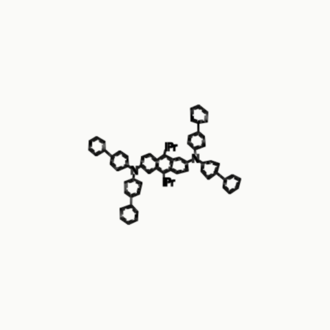 CC(C)c1c2ccc(N(c3ccc(-c4ccccc4)cc3)c3ccc(-c4ccccc4)cc3)cc2c(C(C)C)c2ccc(N(c3ccc(-c4ccccc4)cc3)c3ccc(-c4ccccc4)cc3)cc12